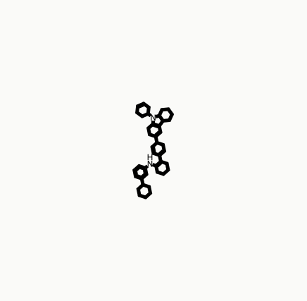 C1=CCC(N2C3=C(C=C(C4C=CC(C5=C(Nc6cccc(C7CCCCC7)c6)CCCC5)=CC4)CC3)C3CCCCC32)CC1